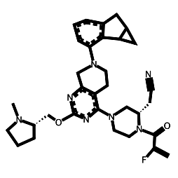 C=C(F)C(=O)N1CCN(c2nc(OC[C@@H]3CCCN3C)nc3c2CCN(c2cccc4c2C2CC2C4)C3)C[C@@H]1CC#N